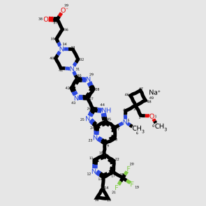 COCC1(CN(C)c2cc(-c3cnc(C4CC4)c(C(F)(F)F)c3)nc3nc(-c4cnc(N5CCN(CCC(=O)[O-])CC5)cn4)[nH]c23)CCC1.[Na+]